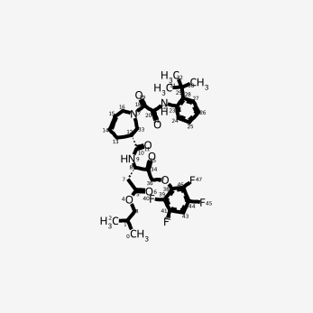 CC(C)COC(=O)C[C@H](NC(=O)[C@@H]1CC=CCN(C(=O)C(=O)Nc2ccccc2C(C)(C)C)C1)C(=O)COc1c(F)c(F)cc(F)c1F